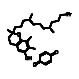 Cc1c(O)cc2c(c1C)OC(C)(CCCC(C)CCCC(C)CCCC(C)C)CC2.O=C1C=CC(=O)C=C1